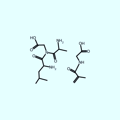 C=C(C)C(=O)NCC(=O)O.CC(C)CC(N)C(=O)N(CC(=O)O)C(=O)C(C)N